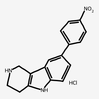 Cl.O=[N+]([O-])c1ccc(-c2ccc3[nH]c4c(c3c2)CNCC4)cc1